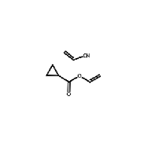 C=CC#N.C=COC(=O)C1CC1